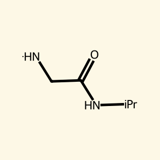 CC(C)NC(=O)C[NH]